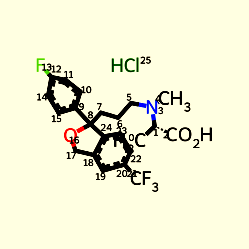 C[C@@H](C(=O)O)N(C)CCCC1(c2ccc(F)cc2)OCc2cc(C(F)(F)F)ccc21.Cl